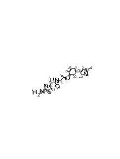 Cn1cc(-c2c[c]cc(OCCNC(=O)Cc3csc(N)n3)c2)cn1